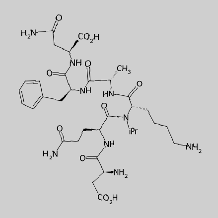 CC(C)N(C(=O)[C@H](CCC(N)=O)NC(=O)[C@@H](N)CC(=O)O)[C@@H](CCCCN)C(=O)N[C@@H](C)C(=O)N[C@@H](Cc1ccccc1)C(=O)N[C@@H](CC(N)=O)C(=O)O